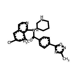 Cc1noc(-c2ccc(C(=O)N(c3nccc4cc(Cl)cc(C)c34)[C@@H]3CCCNC3)cc2)n1